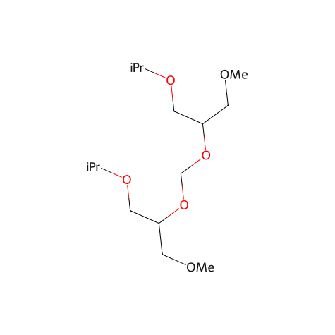 COCC(COC(C)C)OCOC(COC)COC(C)C